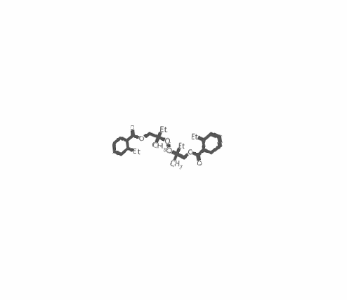 CCC1CCCCC1C(=O)OCC(C)(CC)OOC(C)(CC)COC(=O)C1CCCCC1CC